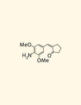 COc1cc(C=C2CCCC2=O)cc(OC)c1N